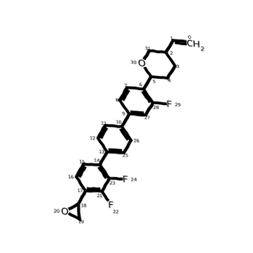 C=CC1CCC(c2ccc(-c3ccc(-c4ccc(C5CO5)c(F)c4F)cc3)cc2F)OC1